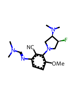 COc1ccc(/N=C/N(C)C)c(C#N)c1N1C[C@@H](N(C)C)[C@@H](F)C1